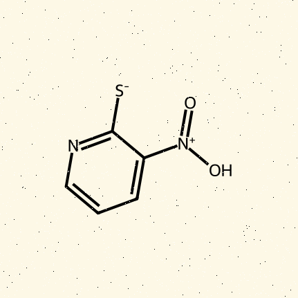 O=[N+](O)c1cccnc1[S-]